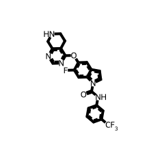 O=C(Nc1cccc(C(F)(F)F)c1)n1ccc2cc(Oc3ncnc4c3CCNC4)c(F)cc21